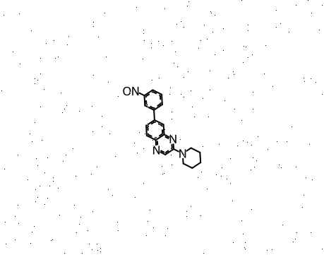 O=Nc1cccc(-c2ccc3ncc(N4CCCCC4)nc3c2)c1